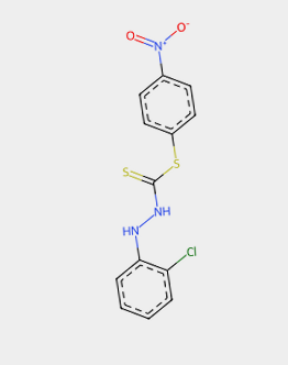 O=[N+]([O-])c1ccc(SC(=S)NNc2ccccc2Cl)cc1